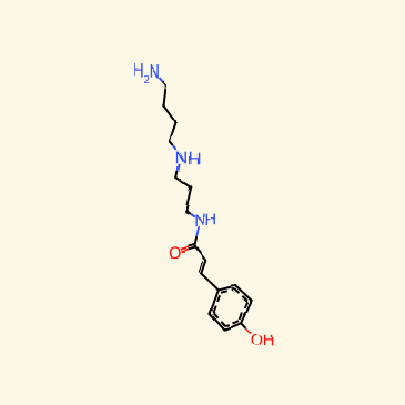 NCCCCNCCCNC(=O)C=Cc1ccc(O)cc1